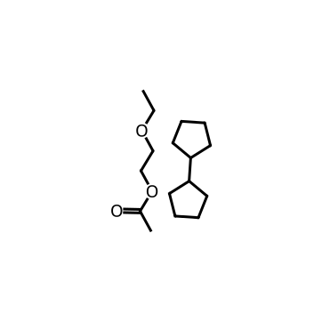 C1CCC(C2CCCC2)C1.CCOCCOC(C)=O